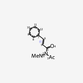 CNN(C(C)=O)C(=O)/C=C/c1ccccc1